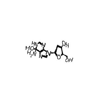 N[C@@]1(O)NC=Nc2c1ncn2[C@H]1C[C@@H](O)[C@@H](CO)O1